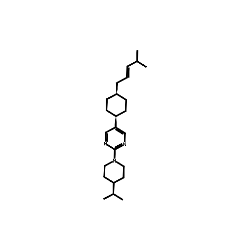 CC(C)/C=C/C[C@H]1CC[C@@H](c2cnc(N3CCC(C(C)C)CC3)nc2)CC1